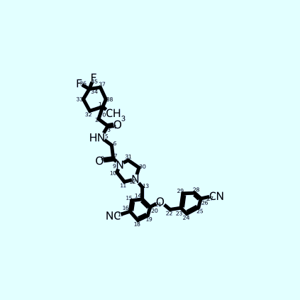 CC1(CC(=O)NCC(=O)N2CCN(Cc3cc(C#N)ccc3OCc3ccc(C#N)cc3)CC2)CCC(F)(F)CC1